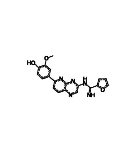 COc1cc(-c2ccc3ncc(NC(=N)c4ccco4)nc3n2)ccc1O